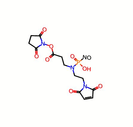 O=NP(=O)(O)N(CCC(=O)ON1C(=O)CCC1=O)CCN1C(=O)C=CC1=O